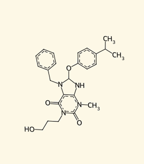 CC(C)c1ccc(OC2Nc3c(c(=O)n(CCCO)c(=O)n3C)N2Cc2ccccc2)cc1